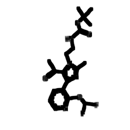 CC(=O)c1c(-c2cccnc2OC(F)F)nc(C)n1CCNC(=O)OC(C)(C)C